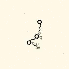 COc1cc(C=Cc2ccccc2OCC(=O)O)ccc1OCCCCc1ccccc1